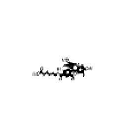 O=C(O)CCCCCNC(=O)c1ccc2c(c1)C(=O)OC21c2cc(F)c(O)cc2Oc2cc(O)c(F)cc21